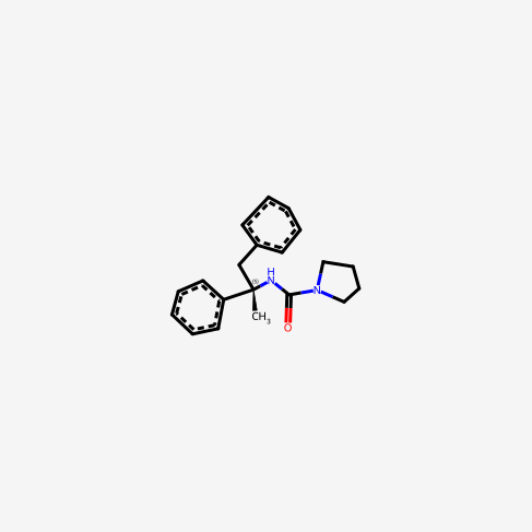 C[C@@](Cc1ccccc1)(NC(=O)N1CCCC1)c1ccccc1